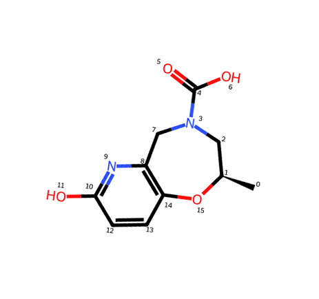 C[C@@H]1CN(C(=O)O)Cc2nc(O)ccc2O1